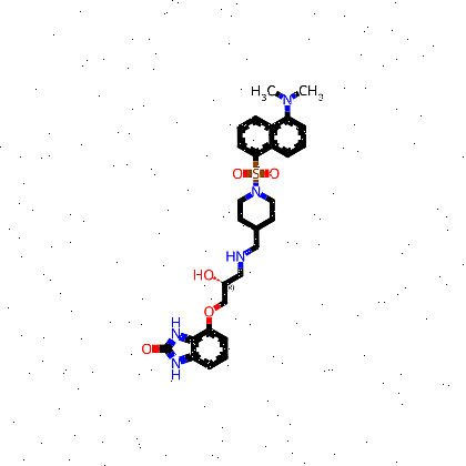 CN(C)c1cccc2c(S(=O)(=O)N3CCC(CNC[C@@H](O)COc4cccc5[nH]c(=O)[nH]c45)CC3)cccc12